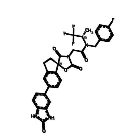 C[C@H](N(Cc1ccc(F)cc1)C(=O)CN1C(=O)O[C@@]2(CCc3cc(-c4ccc5[nH]c(=O)[nH]c5c4)ccc32)C1=O)C(F)(F)F